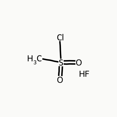 CS(=O)(=O)Cl.F